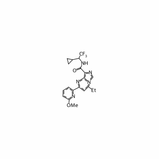 CCc1cc(-c2cccc(OC)n2)nc2c(C(=O)NC(C3CC3)C(F)(F)F)ncn12